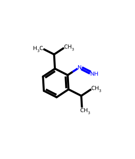 CC(C)c1cccc(C(C)C)c1N=N